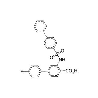 O=C(O)c1ccc(-c2ccc(F)cc2)cc1NS(=O)(=O)c1ccc(-c2ccccc2)cc1